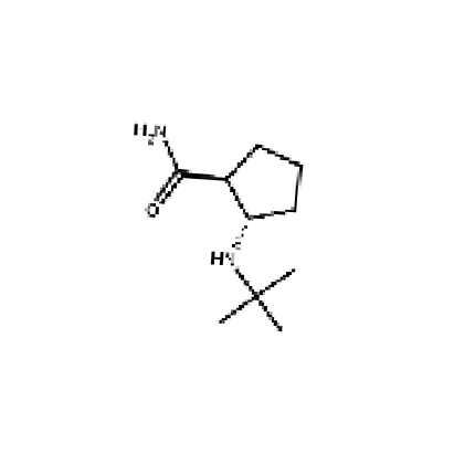 CC(C)(C)N[C@H]1CCC[C@@H]1C(N)=O